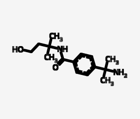 CC(C)(CCO)NC(=O)c1ccc(C(C)(C)N)cc1